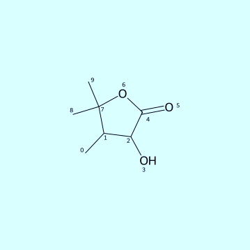 CC1C(O)C(=O)OC1(C)C